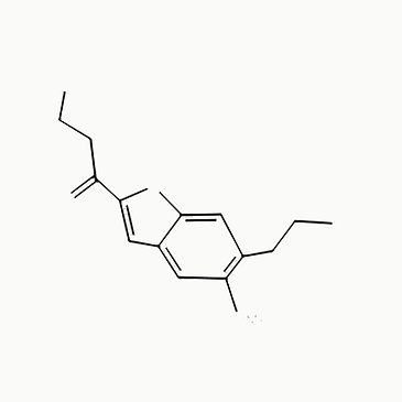 COc1cc2cc(C(=O)CCC(=O)O)sc2cc1CCF